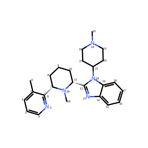 Cc1cccnc1[C@@H]1CCC[C@H](c2nc3ccccc3n2C2CCN(C)CC2)N1C